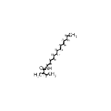 C=C(CC)C(=O)NCCCCCCCCCCCCCC